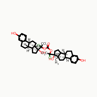 C[C@]12CC[C@@H]3c4ccc(O)cc4CC[C@H]3[C@@H]1CC[C@@]2(O)C(Cl)(OC(=O)OC(Cl)(C(Cl)(Cl)Cl)[C@]1(O)CC[C@H]2[C@@H]3CCc4cc(O)ccc4[C@H]3CC[C@@]21C)C(Cl)(Cl)Cl